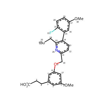 COc1cc(CCC(=O)O)cc(OCc2ccc(-c3cc(OC)ccc3F)c(CC(C)(C)C)n2)c1